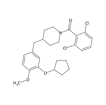 COc1ccc(CC2CCN(C(=O)c3c(Cl)cccc3Cl)CC2)cc1OC1CCCC1